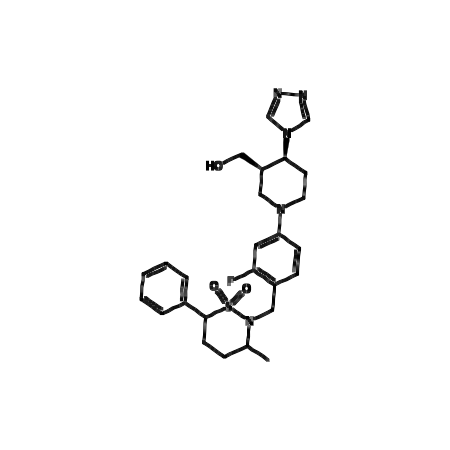 CC1CCC(c2ccccc2)S(=O)(=O)N1Cc1ccc(N2CC[C@H](n3cnnc3)[C@H](CO)C2)cc1F